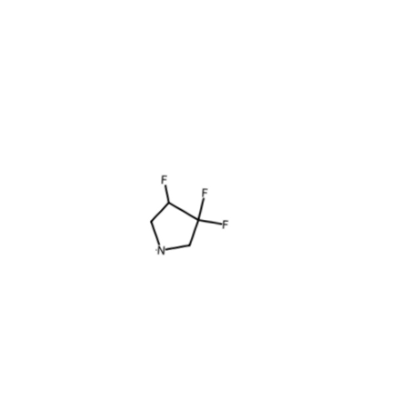 FC1C[N]CC1(F)F